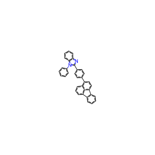 c1ccc(-n2c(-c3ccc(-c4ccc5c6c(cccc46)-c4ccccc4-5)cc3)nc3ccccc32)cc1